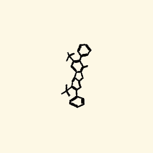 Cc1c2c(cc(C(C)(C)C)c1-c1ccccc1)-c1cc(C(C)(C)C)c(-c3ccccc3)cc1C2